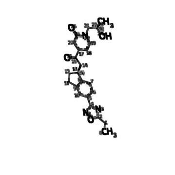 CCc1nc(-c2ccc3c(c2)CC[C@H]3CC(=O)c2ccn(C[C@@H](C)O)c(=O)c2)no1